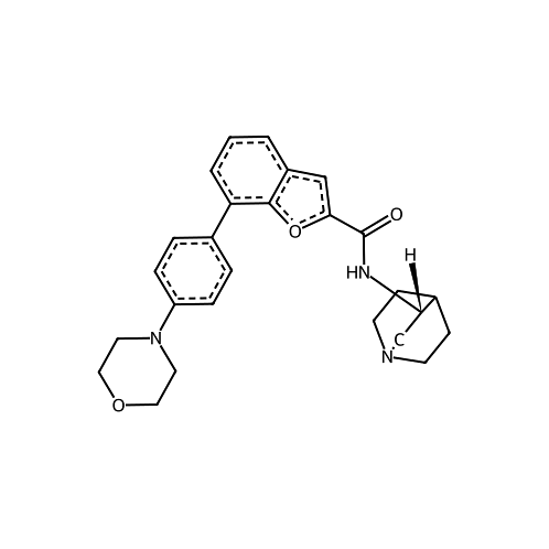 O=C(N[C@H]1CN2CCC1CC2)c1cc2cccc(-c3ccc(N4CCOCC4)cc3)c2o1